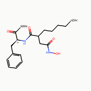 CCCCCCCCCCCCCCC(CC(=O)NO)C(=O)N[C@@H](Cc1ccccc1)C(=O)NC